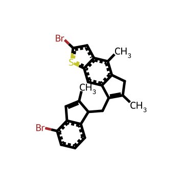 CC1=Cc2c(Br)cccc2C1CC1=C(C)Cc2c1cc1sc(Br)cc1c2C